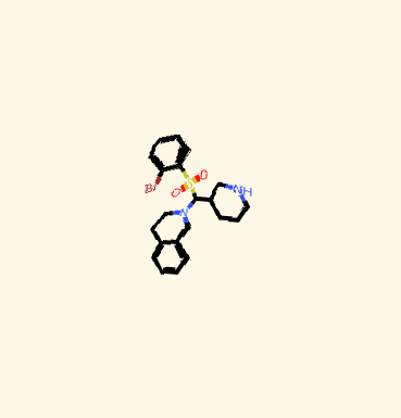 O=S(=O)(c1ccccc1Br)C(C1CCCNC1)N1CCc2ccccc2C1